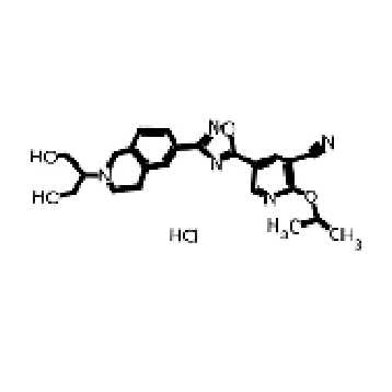 CC(C)Oc1ncc(-c2nc(-c3ccc4c(c3)CCN(C(CO)CO)C4)no2)cc1C#N.Cl